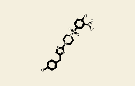 O=[N+]([O-])c1cc(S(=O)(=O)N2CCN(c3nc(Cc4ccc(Cl)cc4)cs3)CC2)ccc1Cl